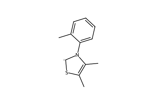 CC1=C(C)N(c2ccccc2C)[C]S1